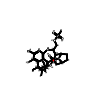 Cc1nc2c3c(nc(Cl)c(F)c3c1C)OC(COS(C)(=O)=O)C1C3CCC(CN21)N3C(=O)OC(C)(C)C